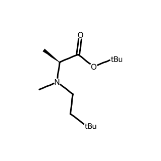 C[C@@H](C(=O)OC(C)(C)C)N(C)CCC(C)(C)C